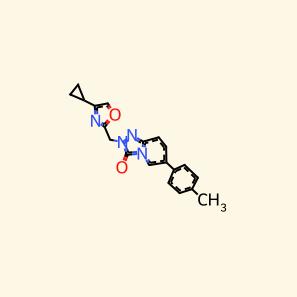 Cc1ccc(-c2ccc3nn(Cc4nc(C5CC5)co4)c(=O)n3c2)cc1